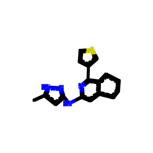 Cc1cc(Nc2cc3ccccc3c(-c3ccsc3)n2)n[nH]1